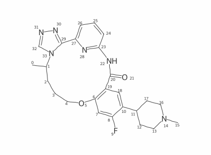 CC1CCCOc2cc(F)c(C3CCN(C)CC3)cc2C(=O)Nc2cccc(n2)-c2nncn21